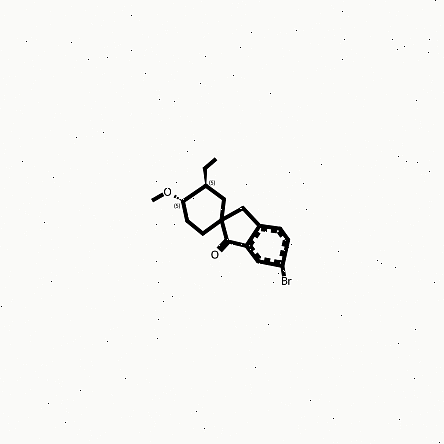 CC[C@H]1CC2(CC[C@@H]1OC)Cc1ccc(Br)cc1C2=O